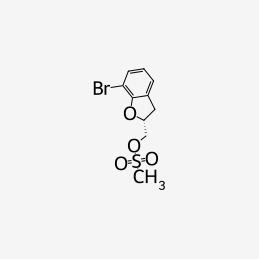 CS(=O)(=O)OC[C@H]1Cc2cccc(Br)c2O1